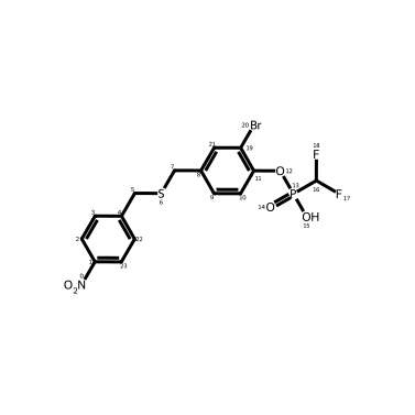 O=[N+]([O-])c1ccc(CSCc2ccc(OP(=O)(O)C(F)F)c(Br)c2)cc1